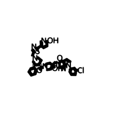 O=C([C@@H]1CCN(Cc2cnc(-c3ccc(O)nc3)s2)C[C@H]1c1ccccc1)N1CCC(O)(Cn2cnc3c(ccn3-c3cccc(Cl)c3)c2=O)CC1